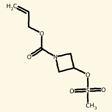 C=CCOC(=O)N1CC(OS(C)(=O)=O)C1